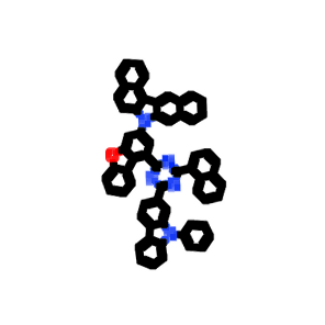 c1ccc(-n2c3ccccc3c3ccc(-c4nc(-c5cccc6ccccc56)nc(-c5cc(-n6c7cc8ccccc8cc7c7c8ccccc8ccc76)cc6oc7ccccc7c56)n4)cc32)cc1